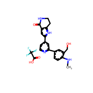 CNc1ccc(-c2cc(-c3cc4c([nH]3)CCNC4=O)ccn2)cc1CO.O=C(O)C(F)(F)F